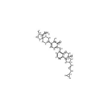 C[C@@H]1OCC2(CCN(c3ncc(Sc4ccnc5c4OC[C@@H]4CC(COCC6CC6)CN54)c(=O)n3C)CC2)[C@@H]1N